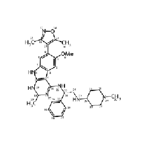 COc1cc2c3c([nH]c2cc1-c1c(C)noc1C)NC(C)N=C3N[C@H](CNC1CCN(C)CC1)c1ccccc1